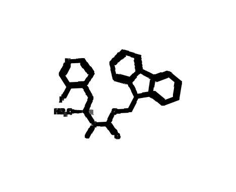 CN(C(=O)OCC1c2ccccc2-c2ccccc21)[C@@H](Cc1ccncc1F)C(=O)O